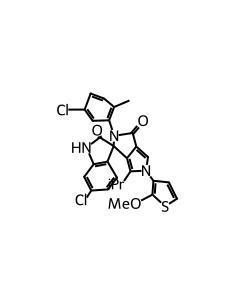 COc1sccc1-n1cc2c(c1C(C)C)C1(C(=O)Nc3cc(Cl)ccc31)N(c1cc(Cl)ccc1C)C2=O